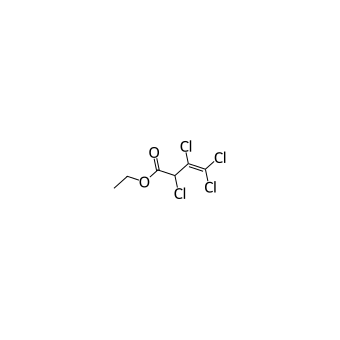 CCOC(=O)C(Cl)C(Cl)=C(Cl)Cl